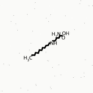 CCCCCCCCCCCCNCCCC[C@H](N)C(=O)O